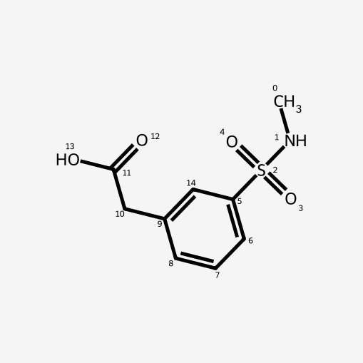 CNS(=O)(=O)c1cccc(CC(=O)O)c1